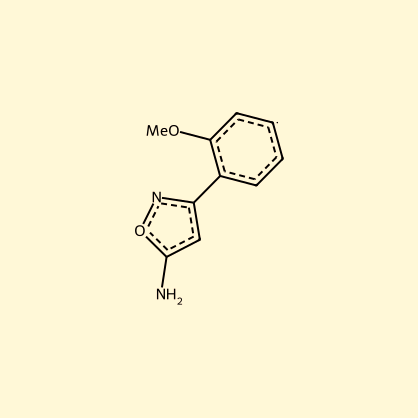 COc1c[c]ccc1-c1cc(N)on1